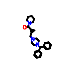 O=C(C1CC1CN1CCN(C(c2ccccc2)c2ccccc2)CC1)N1CCCCC1